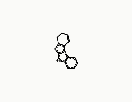 C1=Cc2c(nc3[nH]c4ccccc4n23)CC1